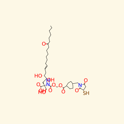 CCCCCCC(=O)CCCCCC/C=C/C[C@@H](O)[C@H](O)C[C@](CO)(NC(=O)OCOC(=O)C1CCC(CN2C(=O)CC(S)C2=O)CC1)C(=O)O